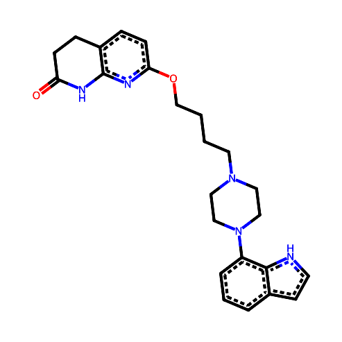 O=C1CCc2ccc(OCCCCN3CCN(c4cccc5cc[nH]c45)CC3)nc2N1